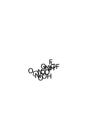 O=C1CCN2CC(C1)n1cc(C(=O)NCc3c(F)cc(F)cc3F)c(=O)c(O)c1C2=O